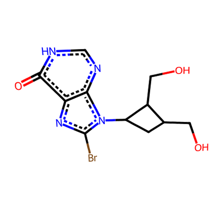 O=c1[nH]cnc2c1nc(Br)n2C1CC(CO)C1CO